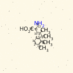 Cc1cccc(C(C)C(C)CC(CN)C(=O)O)c1C